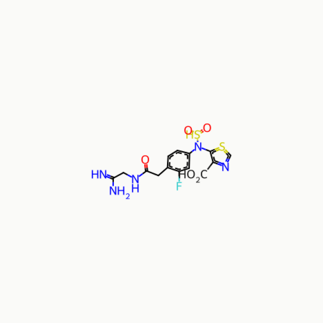 N=C(N)CNC(=O)Cc1ccc(N(c2scnc2C(=O)O)[SH](=O)=O)cc1F